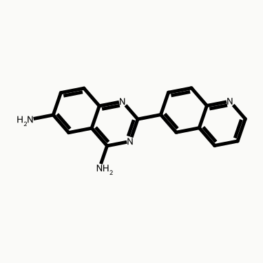 Nc1ccc2nc(-c3ccc4ncccc4c3)nc(N)c2c1